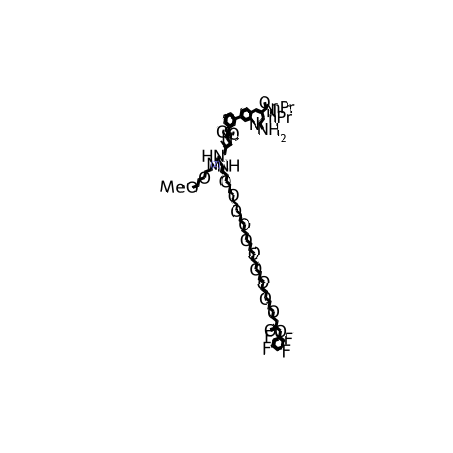 CCCN(CCC)C(=O)C1=Cc2ccc(-c3cccc(S(=O)(=O)N4CC(CN/C(=N/CCOCCOC)NCCOCCOCCOCCOCCOCCOCCOCCOCCOCCOCCC(=O)Oc5c(F)c(F)cc(F)c5F)C4)c3)cc2N=C(N)C1